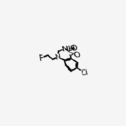 O=S1(=O)NCN(CCF)c2ccc(Cl)cc21